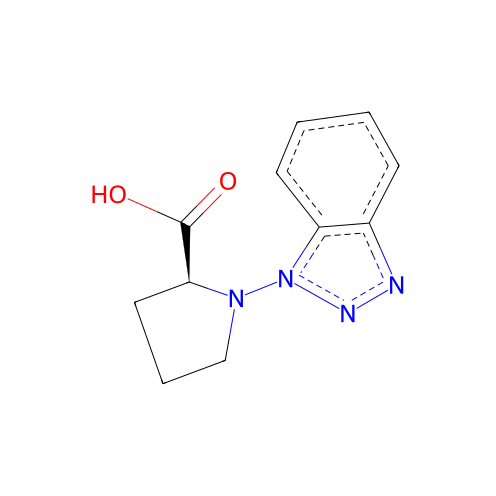 O=C(O)[C@@H]1CCCN1n1nnc2ccccc21